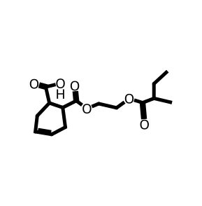 CCC(C)C(=O)OCCOC(=O)C1CC=CCC1C(=O)O